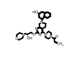 C=CC(=O)N1CCN(c2nc(OC[C@H](O)CN3CCOCC3)nc3c2CCN(c2cc(O)cc4ccccc24)C3)CC1